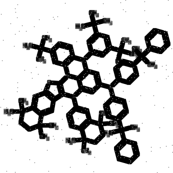 CC(C)(C)c1cc(N2c3ccc(C(C)(C)C)cc3B3c4sc5cc6c(cc5c4N(c4ccc5c(c4)C(C)(C)CCC5(C)C)c4cc(N(c5ccc(C(C)(C)c7ccccc7)cc5)c5ccc(C(C)(C)c7ccccc7)cc5)cc2c43)C(C)(C)CCC6(C)C)cc(C(C)(C)C)c1